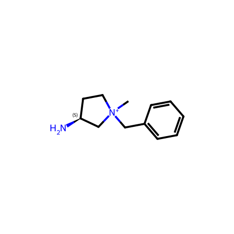 C[N+]1(Cc2ccccc2)CC[C@H](N)C1